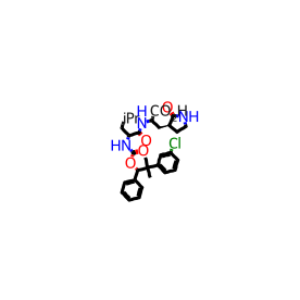 CC(C)CC(NC(=O)OC(c1ccccc1)C(C)(C)c1cccc(Cl)c1)C(=O)NC(C[C@@H]1CCNC1=O)C(=O)O